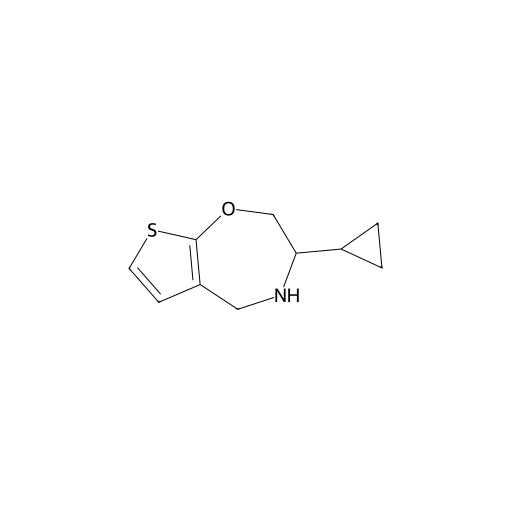 c1cc2c(s1)OCC(C1CC1)NC2